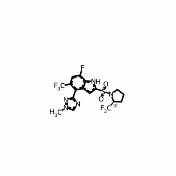 Cn1cnc(-c2c(C(F)(F)F)cc(F)c3[nH]c(S(=O)(=O)N4CCC[C@H]4C(F)(F)F)cc23)n1